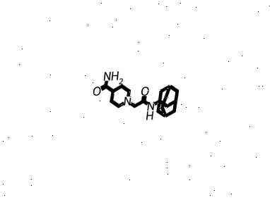 NC(=O)C1CCN(CC(=O)NC23CC4CC(CC(C4)C2)C3)CC1